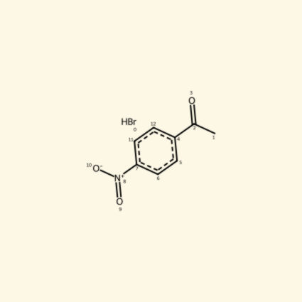 Br.CC(=O)c1ccc([N+](=O)[O-])cc1